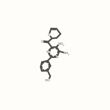 Nc1nc(-c2cccc(CO)c2)nc(C(=O)C2CCC=CO2)c1[N+](=O)[O-]